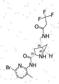 Cc1ccc(Br)nc1NC(=O)[C@@H]1C[C@@]2(CNC(=O)CC(F)(F)F)C[C@H]2N1